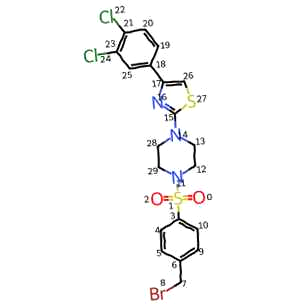 O=S(=O)(c1ccc(CBr)cc1)N1CCN(c2nc(-c3ccc(Cl)c(Cl)c3)cs2)CC1